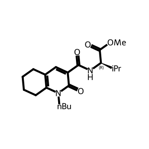 CCCCn1c2c(cc(C(=O)N[C@@H](C(=O)OC)C(C)C)c1=O)CCCC2